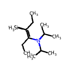 CCC([SiH3])=C(CC)N(C(C)C)C(C)C